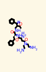 CC1ON=C(c2ccccc2)C1CNC(=O)[C@H](CCc1ccccc1)NC(=O)[C@@H](N)CC(=O)N(CCN)CCN